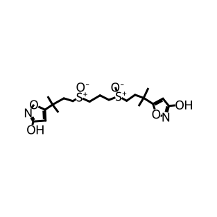 CC(C)(CC[S+]([O-])CCC[S+]([O-])CCC(C)(C)c1cc(O)no1)c1cc(O)no1